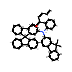 C=C/C=C\C(=C/C)c1ccccc1N(c1ccc2c(c1)C(C)(C)c1ccccc1-2)c1ccc2c(c1)C1(c3ccccc3-c3ccccc31)c1ccccc1-2